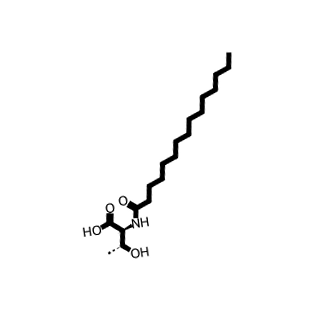 CCCCCCCCCCCCCCC(=O)N[C@H](C(=O)O)[C@@H](C)O